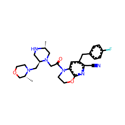 C[C@@H]1CN(CC(=O)N2CCOc3nc(C#N)c(Cc4ccc(F)cc4)cc32)[C@@H](CN2CCOC[C@H]2C)CN1